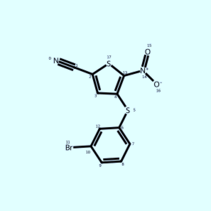 N#Cc1cc(Sc2cccc(Br)c2)c([N+](=O)[O-])s1